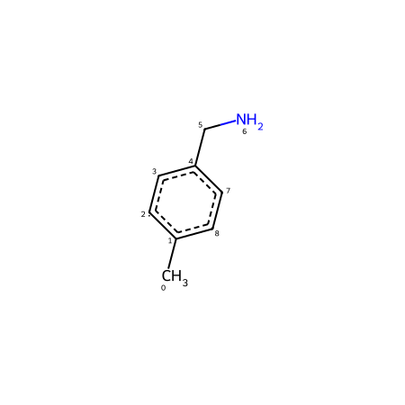 Cc1[c]cc(CN)cc1